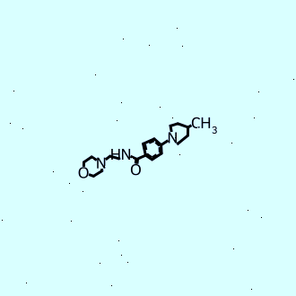 CC1CCN(c2ccc(C(=O)NCCN3CCOCC3)cc2)CC1